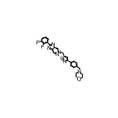 Fc1cccc(-c2nc3cnn(Cc4cc(-c5ccc(CN6CCOCC6)cc5)no4)cc-3n2)c1F